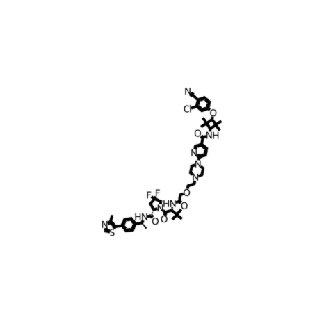 Cc1ncsc1-c1ccc([C@H](C)NC(=O)[C@@H]2CC(F)(F)CN2C(=O)[C@@H](NC(=O)COCCN2CCN(c3ccc(C(=O)NC4C(C)(C)C(Oc5ccc(C#N)c(Cl)c5)C4(C)C)cn3)CC2)C(C)(C)C)cc1